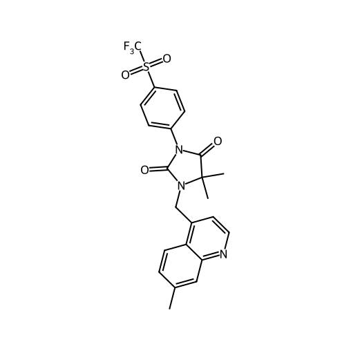 Cc1ccc2c(CN3C(=O)N(c4ccc(S(=O)(=O)C(F)(F)F)cc4)C(=O)C3(C)C)ccnc2c1